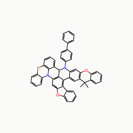 CC1(C)c2ccccc2Oc2cc3c(cc21)-c1c2c(cc4oc5ccccc5c14)N1c4ccccc4Sc4cccc(c41)B2N3c1ccc(-c2ccccc2)cc1